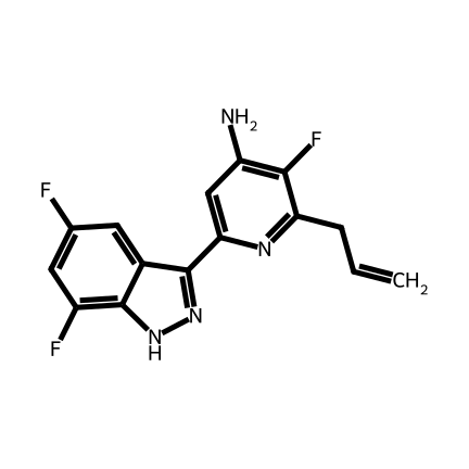 C=CCc1nc(-c2n[nH]c3c(F)cc(F)cc23)cc(N)c1F